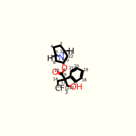 CN1[C@@H]2CC[C@H]1C[C@H](OC(=O)C(CO)(CC(F)(F)F)c1ccccc1)C2